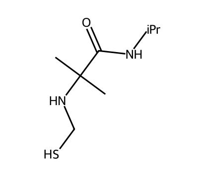 CC(C)NC(=O)C(C)(C)NCS